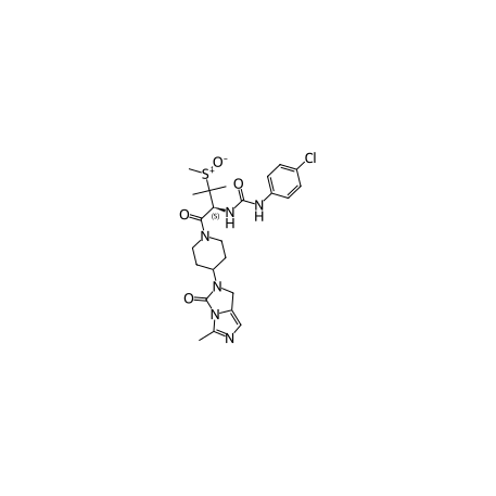 Cc1ncc2n1C(=O)N(C1CCN(C(=O)[C@H](NC(=O)Nc3ccc(Cl)cc3)C(C)(C)[S+](C)[O-])CC1)C2